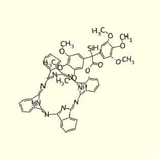 COc1cc(C([SiH3])(C(=O)Oc2cccc3c4nc5nc(nc6[nH]c(nc7nc(nc([nH]4)c23)-c2ccccc2-7)c2ccccc62)-c2ccccc2-5)c2cc(OC)c(OC)c(OC)c2)cc(OC)c1OC